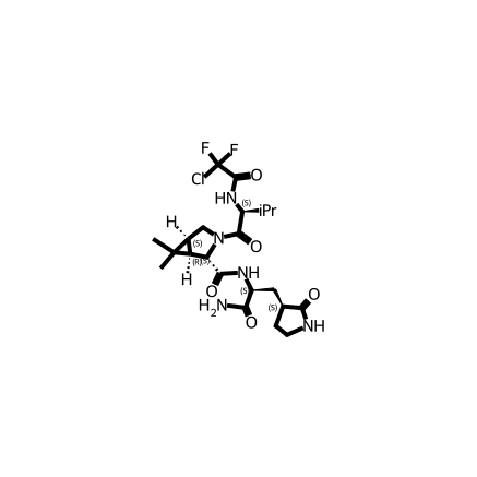 CC(C)[C@H](NC(=O)C(F)(F)Cl)C(=O)N1C[C@H]2[C@@H]([C@H]1C(=O)N[C@@H](C[C@@H]1CCNC1=O)C(N)=O)C2(C)C